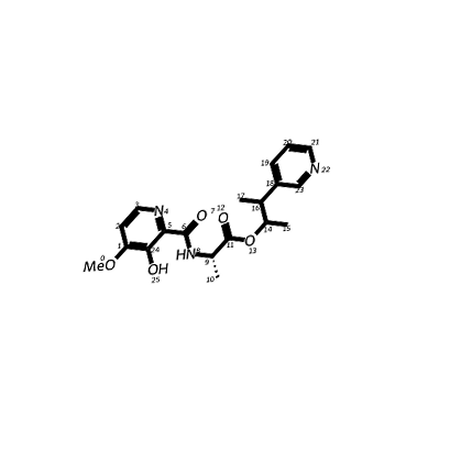 COc1ccnc(C(=O)N[C@@H](C)C(=O)OC(C)C(C)c2cccnc2)c1O